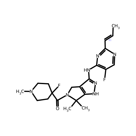 C/C=C/c1ncc(F)c(Nc2n[nH]c3c2CN(C(=O)C2(F)CCN(C)CC2)C3(C)C)n1